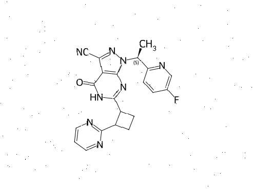 C[C@@H](c1ccc(F)cn1)n1nc(C#N)c2c(=O)[nH]c(C3CCC3c3ncccn3)nc21